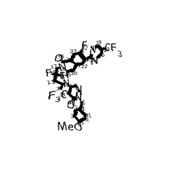 COc1ccc(Cn2ncc(NC(C)CC(F)(F)Cn3ccc4cc(-c5ncc(C(F)(F)F)cn5)c(F)cc4c3=O)c(C(F)(F)F)c2=O)cc1